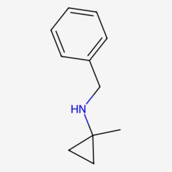 CC1(NCc2ccccc2)CC1